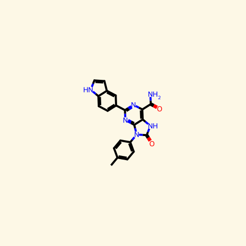 Cc1ccc(-n2c(=O)[nH]c3c(C(N)=O)nc(-c4ccc5[nH]ccc5c4)nc32)cc1